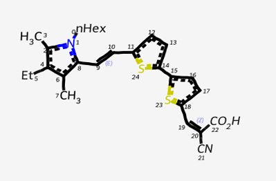 CCCCCCn1c(C)c(CC)c(C)c1/C=C/c1ccc(-c2ccc(/C=C(/C#N)C(=O)O)s2)s1